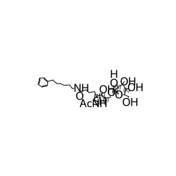 CC(=O)N[C@@H](CO[C@H]1OC(CO)[C@H](O)C(O)[C@@H]1O)[C@H](O)[C@H](S)CCCC(=O)NCCCCCCc1ccccc1